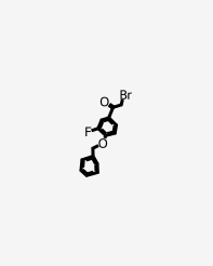 O=C(CBr)c1ccc(OCc2ccccc2)c(F)c1